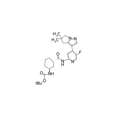 CC1(C)Cc2c(-c3cc(NC(=O)[C@H]4CCC[C@H](NC(=O)OC(C)(C)C)C4)ncc3F)cnn2C1